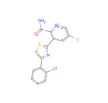 NC(=O)c1ncc(F)cc1-c1nc(-c2ccccc2Cl)cs1